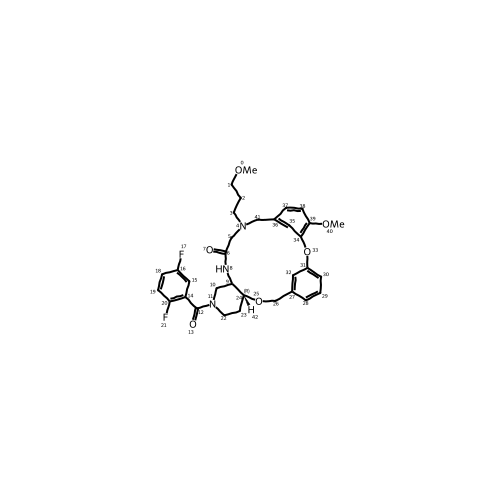 COCCCN1CC(=O)NC2CN(C(=O)c3cc(F)ccc3F)CC[C@H]2OCc2cccc(c2)Oc2cc(ccc2OC)C1